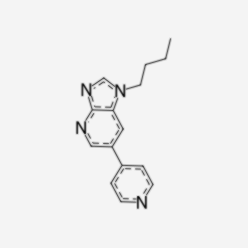 CCCCn1cnc2ncc(-c3ccncc3)cc21